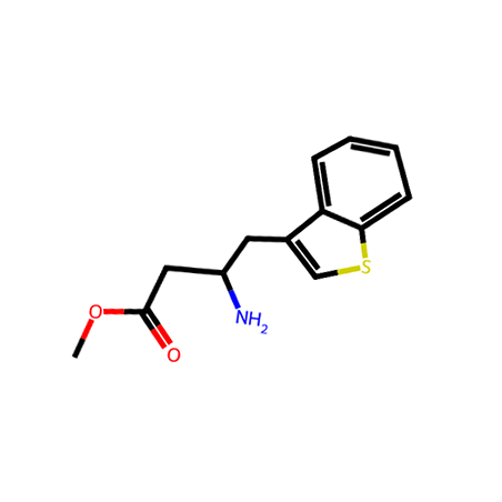 COC(=O)CC(N)Cc1csc2ccccc12